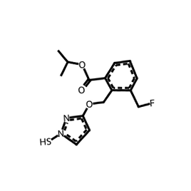 CC(C)OC(=O)c1cccc(CF)c1COc1ccn(S)n1